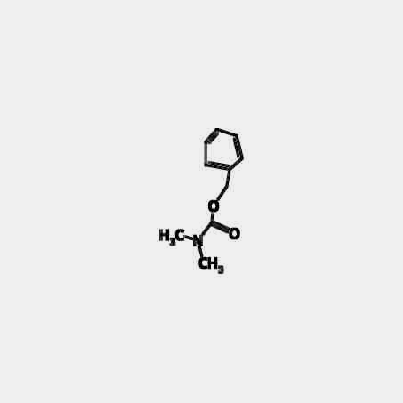 CN(C)C(=O)OCc1ccccc1